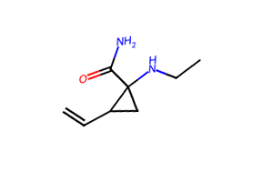 C=CC1CC1(NCC)C(N)=O